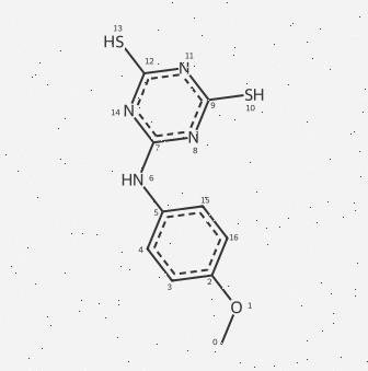 COc1ccc(Nc2nc(S)nc(S)n2)cc1